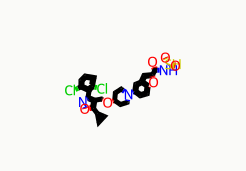 O=C(N[SH](=O)=O)c1cc2cc(N3CCC(OCc4c(-c5c(Cl)cccc5Cl)noc4C4CC4)CC3)ccc2o1